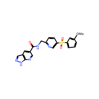 COc1cccc(S(=O)(=O)c2ccc(CNC(=O)c3cnc4[nH]ncc4c3)nc2)c1